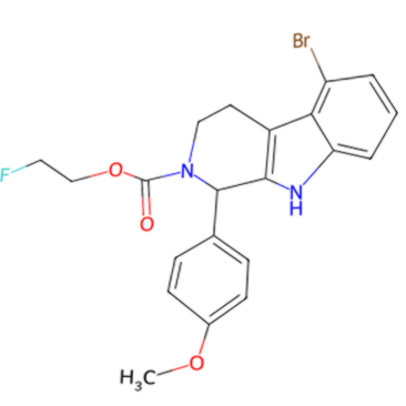 COc1ccc(C2c3[nH]c4cccc(Br)c4c3CCN2C(=O)OCCF)cc1